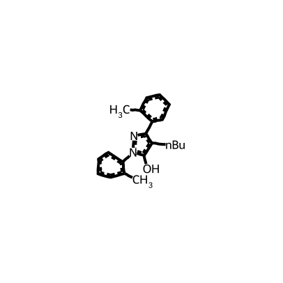 CCCCc1c(-c2ccccc2C)nn(-c2ccccc2C)c1O